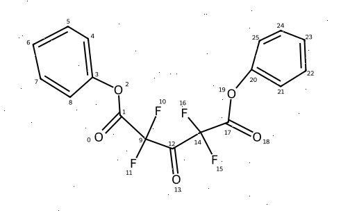 O=C(Oc1ccccc1)C(F)(F)C(=O)C(F)(F)C(=O)Oc1ccccc1